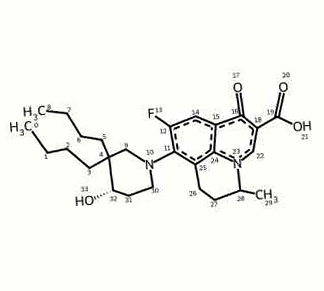 CCCCC1(CCCC)CN(c2c(F)cc3c(=O)c(C(=O)O)cn4c3c2CCC4C)CC[C@@H]1O